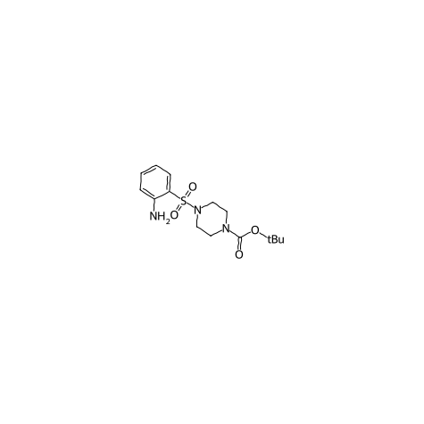 CC(C)(C)OC(=O)N1CCN(S(=O)(=O)c2ccccc2N)CC1